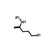 C=C(CCCC(C)C)NC(C)C